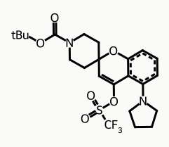 CC(C)(C)OC(=O)N1CCC2(C=C(OS(=O)(=O)C(F)(F)F)c3c(cccc3N3CCCC3)O2)CC1